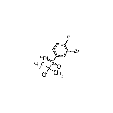 CC(C)(Cl)S(=N)(=O)c1ccc(F)c(Br)c1